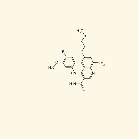 COCCSc1cc(C)c2ncc(C(N)=O)c(Nc3ccc(F)c(OC)c3)c2c1